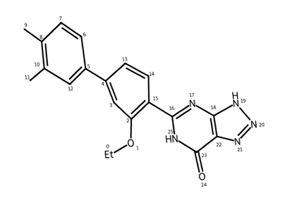 CCOc1cc(-c2ccc(C)c(C)c2)ccc1-c1nc2[nH]nnc2c(=O)[nH]1